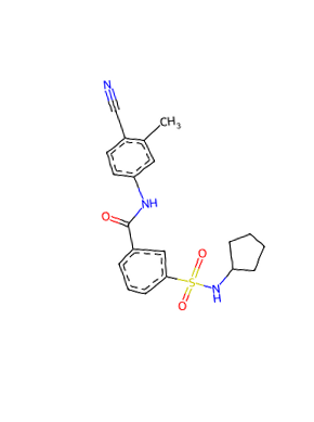 Cc1cc(NC(=O)c2cccc(S(=O)(=O)NC3CCCC3)c2)ccc1C#N